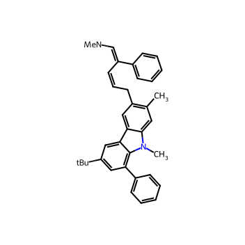 CN/C=C(\C=C/Cc1cc2c3cc(C(C)(C)C)cc(-c4ccccc4)c3n(C)c2cc1C)c1ccccc1